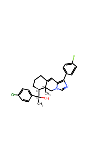 C[C@]12Cn3cnc(-c4ccc(F)cc4)c3C=C1CCC[C@@H]2[C@](C)(O)c1ccc(Cl)cc1